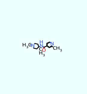 Cc1cc(C(=O)NC2(C)CCN(C)CC2)ccn1